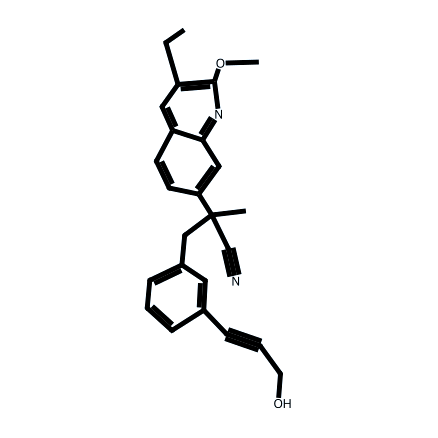 CCc1cc2ccc(C(C)(C#N)Cc3cccc(C#CCO)c3)cc2nc1OC